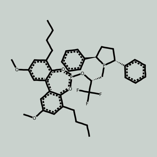 CCCCc1cc(OC)cc2c1op(O[C@H](CP1[C@@H](c3ccccc3)CC[C@@H]1c1ccccc1)C(F)(F)F)oc1c(CCCC)cc(OC)cc12